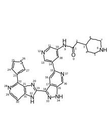 O=C(CC1CCNCC1)Nc1cncc(-c2cc3c(-c4nc5c(-c6ccsc6)nccc5[nH]4)n[nH]c3cn2)c1